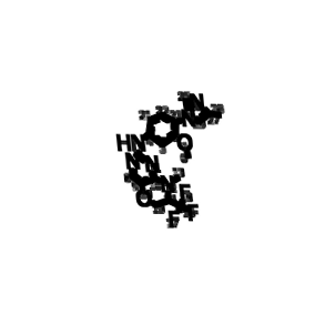 COc1cc(Nc2ncc3c(n2)N(C)C(C(F)(F)F)CO3)ccc1-n1cnc(C)c1